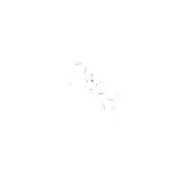 CCOc1ccccc1S(=O)(=O)NC(=O)c1cc2c(F)cc(Br)cc2o1